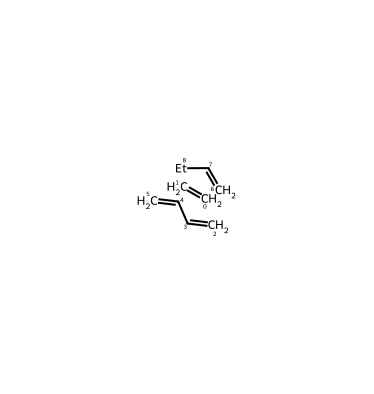 C=C.C=CC=C.C=CCC